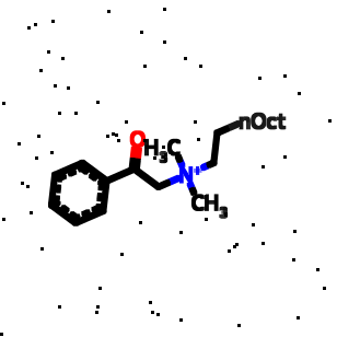 CCCCCCCCCC[N+](C)(C)CC(=O)c1ccccc1